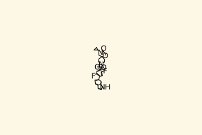 O=C1COC2(CCN(S(=O)(=O)c3cc(F)c(-c4ccc5cc[nH]c5c4)cc3F)CC2)CN1C1CC1